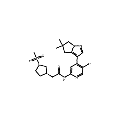 CC1(C)Cc2c(-c3cc(NC(=O)C[C@H]4CCN(S(C)(=O)=O)C4)ncc3Cl)cnn2C1